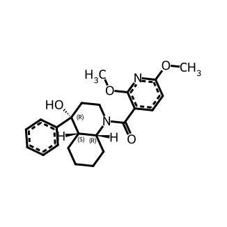 COc1ccc(C(=O)N2CC[C@](O)(c3ccccc3)[C@H]3CCCC[C@H]32)c(OC)n1